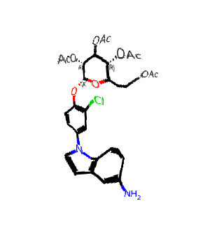 CC(=O)OCC1O[C@H](Oc2ccc(-n3ccc4cc(N)ccc43)cc2Cl)[C@H](OC(C)=O)C(OC(C)=O)[C@@H]1OC(C)=O